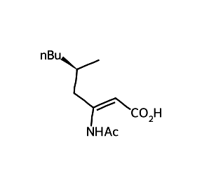 CCCC[C@@H](C)C/C(=C/C(=O)O)NC(C)=O